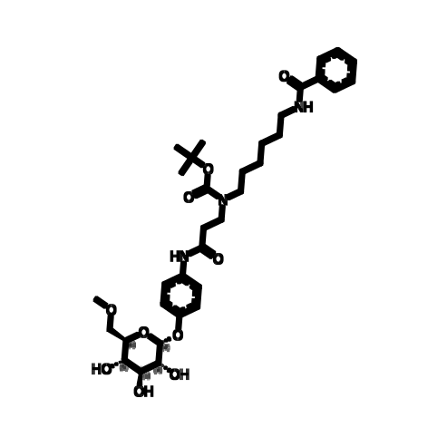 COC[C@H]1O[C@H](Oc2ccc(NC(=O)CCN(CCCCCCNC(=O)c3ccccc3)C(=O)OC(C)(C)C)cc2)[C@H](O)[C@@H](O)[C@@H]1O